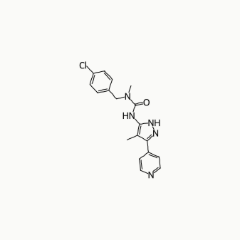 Cc1c(-c2ccncc2)n[nH]c1NC(=O)N(C)Cc1ccc(Cl)cc1